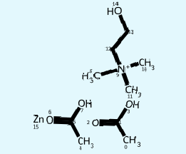 CC(=O)O.CC(=O)O.C[N+](C)(C)CCO.[Zn]